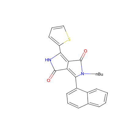 CCCCN1C(=O)C2=C(c3cccs3)NC(=O)C2=C1c1cccc2ccccc12